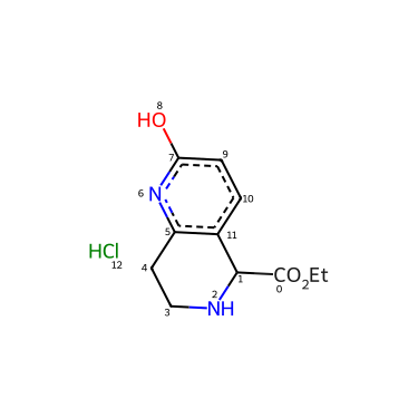 CCOC(=O)C1NCCc2nc(O)ccc21.Cl